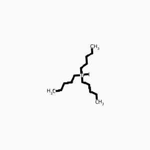 CCCC[CH2][Ti]([I])([CH2]CCCC)[CH2]CCCC